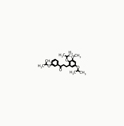 COc1cc(OC(C)C)cc(CCC(=O)c2cccc(OC(C)C)c2)c1OC(C)C